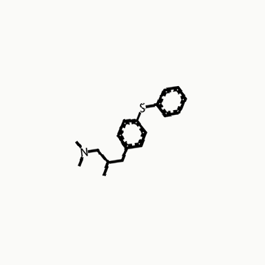 CC(Cc1ccc(Sc2ccccc2)cc1)CN(C)C